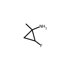 CC1(N)CC1F